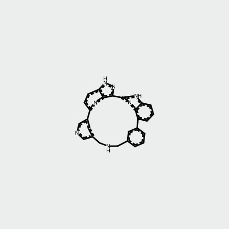 c1cc2cc(c1)-c1cccc3[nH]c(nc13)-c1n[nH]c3ccc(nc13)-c1cncc(c1)CNC2